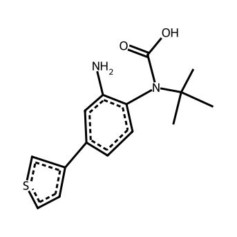 CC(C)(C)N(C(=O)O)c1ccc(-c2ccsc2)cc1N